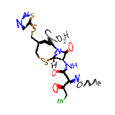 CON=C(C(=O)CBr)C(=O)N[C@@H]1C(=O)N2C(C(=O)O)=C(CSc3cnns3)CS[C@@H]12